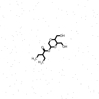 CCC(CC)C(=O)OC1COC(CO)C(CO)O1